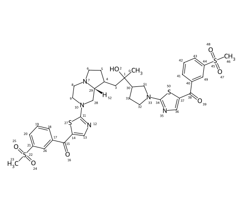 CC(O)(CC1CCN2CCN(c3ncc(C(=O)c4cccc(S(C)(=O)=O)c4)s3)C[C@@H]12)C1CCN(c2ncc(C(=O)c3cccc(S(C)(=O)=O)c3)s2)C1